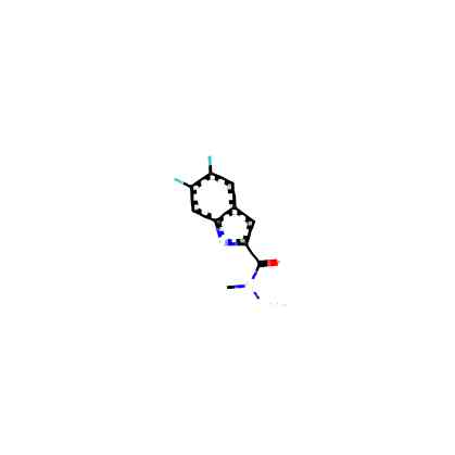 CON(C)C(=O)c1cc2cc(F)c(F)cc2[nH]1